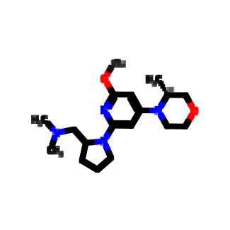 C[C@@H]1COCCN1c1cc(OC(C)(C)C)nc(N2CCCC2CN(C)C)c1